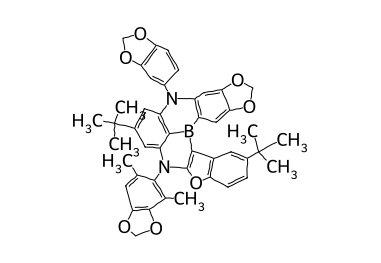 Cc1cc2c(c(C)c1N1c3cc(C(C)(C)C)cc4c3B(c3cc5c(cc3N4c3ccc4c(c3)OCO4)OCO5)c3c1oc1ccc(C(C)(C)C)cc31)OCO2